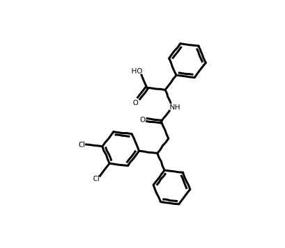 O=C(CC(c1ccccc1)c1ccc(Cl)c(Cl)c1)NC(C(=O)O)c1ccccc1